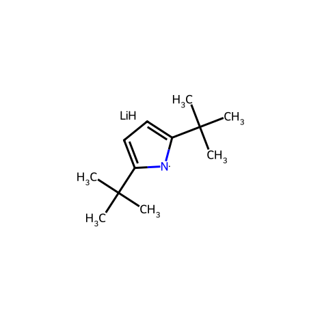 CC(C)(C)C1=CC=C(C(C)(C)C)[N]1.[LiH]